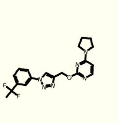 CC(F)(F)c1cccc(-n2cc(COc3nccc(N4CCCC4)n3)nn2)c1